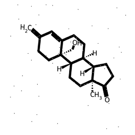 C=C1C=C2CC[C@@H]3[C@H](CC[C@]4(C)C(=O)CC[C@@H]34)[C@@]2(CO)CC1